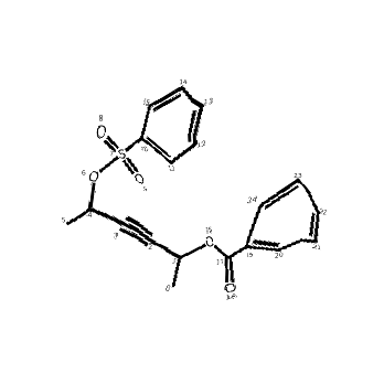 CC(C#CC(C)OS(=O)(=O)c1ccccc1)OC(=O)c1ccccc1